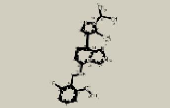 COc1cccc(F)c1CNc1ccc(-c2cnn(C(C)C)c2C)c2nncn12